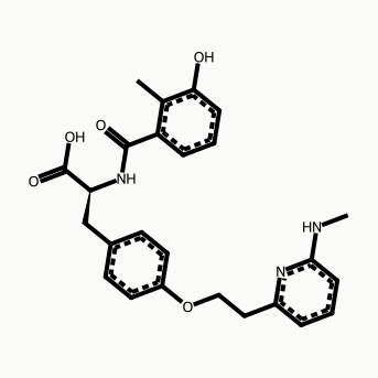 CNc1cccc(CCOc2ccc(C[C@H](NC(=O)c3cccc(O)c3C)C(=O)O)cc2)n1